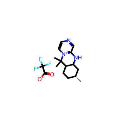 C[C@@H]1CCC2C(C1)Nc1cncc[n+]1C2(C)C.O=C([O-])C(F)(F)F